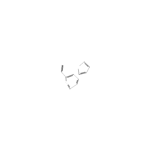 C=Cc1ccccn1.c1ccsc1